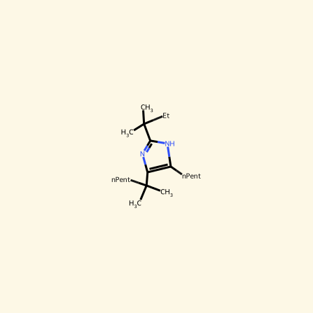 CCCCCc1[nH]c(C(C)(C)CC)nc1C(C)(C)CCCCC